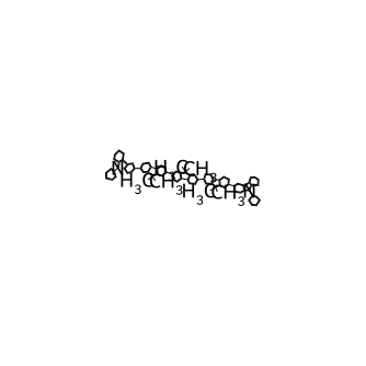 CC1(C)c2cc(-c3ccc4c(c3)C(C)(C)c3cc(-c5ccc6c(c5)c5ccccc5n6-c5ccccc5)ccc3-4)ccc2-c2ccc(-c3ccc4c(c3)C(C)(C)c3cc(-c5ccc6c(c5)c5ccccc5n6-c5ccccc5)ccc3-4)cc21